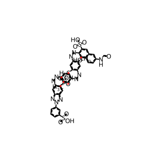 Cc1cc(/N=N\c2c(S(=O)(=O)O)cc3cc(NC=O)ccc3c2O)c(C)cc1/N=N\c1ccc(/N=N\c2cc3nn(-c4cccc(S(=O)(=O)O)c4)nc3cc2S(=O)(=O)O)c(C)c1